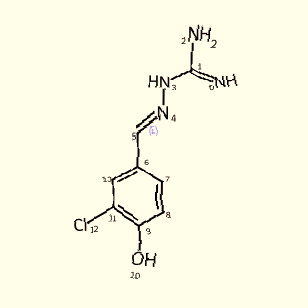 N=C(N)N/N=C/c1ccc(O)c(Cl)c1